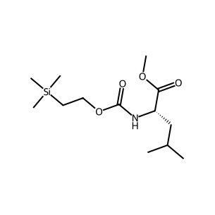 COC(=O)[C@H](CC(C)C)NC(=O)OCC[Si](C)(C)C